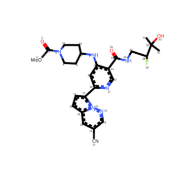 COC(=O)N1CCC(Nc2cc(-c3ccc4cc(C#N)cnn34)ncc2C(=O)NCC(F)C(C)(C)O)CC1